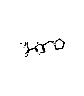 NC(=O)c1ncc(CN2CCCC2)s1